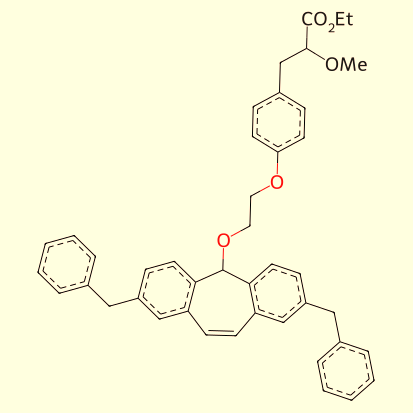 CCOC(=O)C(Cc1ccc(OCCOC2c3ccc(Cc4ccccc4)cc3C=Cc3cc(Cc4ccccc4)ccc32)cc1)OC